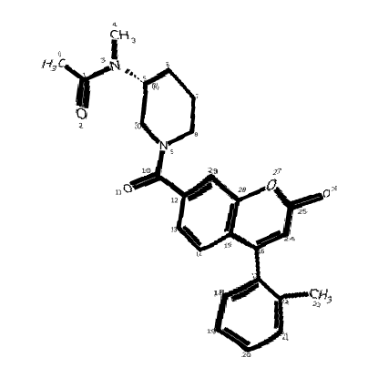 CC(=O)N(C)[C@@H]1CCCN(C(=O)c2ccc3c(-c4ccccc4C)cc(=O)oc3c2)C1